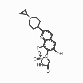 O=C1CN(c2c(O)cc3ccc(C4CCN(C5CC5)CC4)nc3c2F)S(=O)(=O)N1